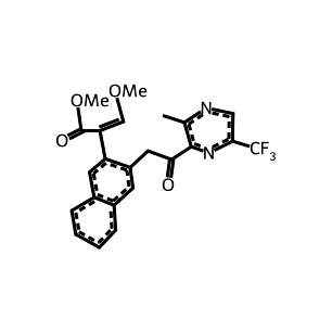 COC=C(C(=O)OC)c1cc2ccccc2cc1CC(=O)c1nc(C(F)(F)F)cnc1C